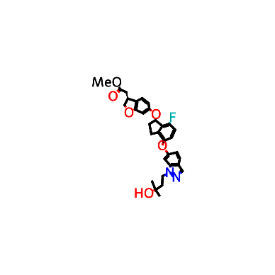 COC(=O)C[C@@H]1COc2cc(O[C@@H]3CCc4c(Oc5ccc6cnn(CCC(C)(C)O)c6c5)ccc(F)c43)ccc21